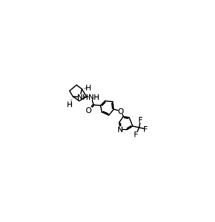 O=C(N[C@@H]1C[C@H]2CC[C@@H]1N2)c1ccc(Oc2cncc(C(F)(F)F)c2)cc1